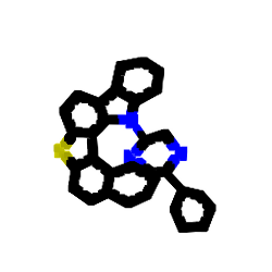 c1ccc(-c2cnc(-n3c4ccccc4c4ccc5sc6ccc7ccccc7c6c5c43)cn2)cc1